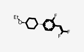 CCO[C@H]1CC[C@H](c2ccc(C=C(F)F)c(F)c2)CC1